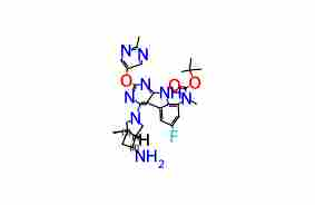 Cc1ncc(Oc2nc(N3C[C@@H]4[C@H](N)C[C@]4(C)C3)c3c(n2)[nH]c2c(N(C)C(=O)OC(C)(C)C)cc(F)cc23)cn1